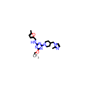 Cc1ccc(CNc2nc(OCC(F)(F)F)nc(N3CCC(Cn4ccnc4C)CC3)n2)o1